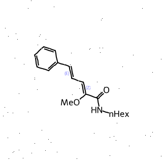 CCCCCCNC(=O)/C(=C/C=C/c1ccccc1)OC